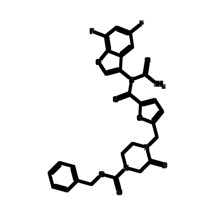 NC(=O)N(C(=O)c1ccc(CN2CCN(C(=O)OCc3ccccc3)CC2=O)o1)c1coc2c(F)cc(F)cc12